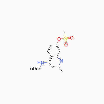 CCCCCCCCCCNc1cc(C)nc2cc(OS(C)(=O)=O)ccc12